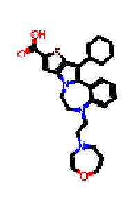 O=C(O)c1cc2c(s1)c(C1CCCCC1)c1n2CCN(CCN2CCCOCC2)c2ccccc2-1